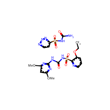 COc1cc(OC)nc(NC(=O)NS(=O)(=O)c2ncccc2OCC(F)(F)F)n1.NC(=O)NS(=O)(=O)c1ccnnn1